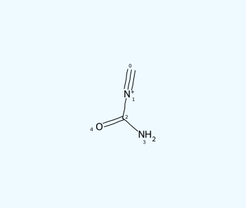 C#[N+]C(N)=O